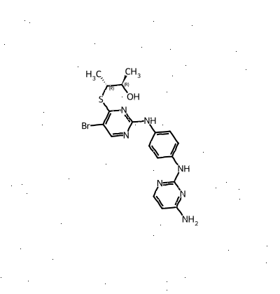 C[C@@H](O)[C@@H](C)Sc1nc(Nc2ccc(Nc3nccc(N)n3)cc2)ncc1Br